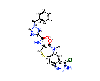 CN1C(=O)[C@@H](NC(=O)c2ncn(Cc3ccccc3)n2)CSc2cc(N)c(C(=N)Cl)cc21